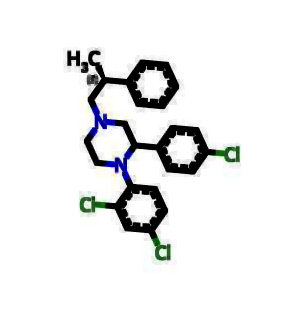 C[C@H](CN1CCN(c2ccc(Cl)cc2Cl)C(c2ccc(Cl)cc2)C1)c1ccccc1